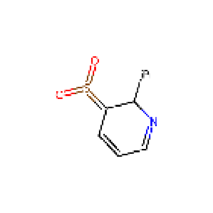 CC(C)C1N=CC=CC1=S(=O)=O